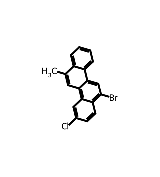 Cc1cc2c3cc(Cl)ccc3c(Br)cc2c2ccccc12